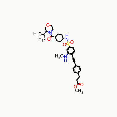 CNc1cc(S(=O)(=O)N[C@H]2CC[C@H](C(=O)N3CCOC[C@@H]3C(C)C)CC2)ccc1C#Cc1ccc(CCC(=O)OC)cc1